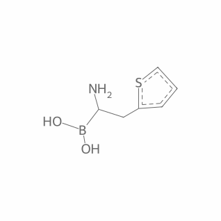 NC(Cc1cccs1)B(O)O